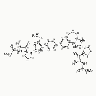 COC(=O)N[C@H](C(=O)N1CCC[C@H]1c1nc2c([nH]1)CCCc1cc(-c3ccc(-c4[nH]c([C@@H]5CCCN5C(=O)[C@@H](NC(=O)OC)C(C)C)nc4CC(F)(F)F)cc3)ccc1-2)C(C)C